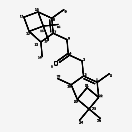 CC1=C(CC(=O)CC2=C(C)C3CC(C2C)C3(C)C)C(C)C2CC1C2(C)C